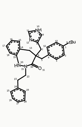 CC(C)(C)c1ccc(CC2(Cc3c[nH]cn3)Cc3ccccc3NN(CCc3ccccc3)C2=O)cc1